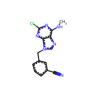 CNc1nc(Cl)nc2c1ncn2Cc1cccc(C#N)c1